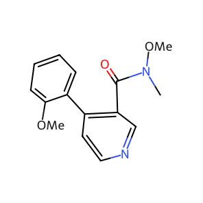 COc1ccccc1-c1ccncc1C(=O)N(C)OC